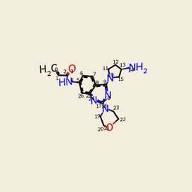 C=CC(=O)Nc1ccc2c(N3CC[C@@H](N)C3)nc(N3CCOCC3)nc2c1